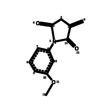 C=C1CC(=O)N(c2cccc(OC)c2)C1=O